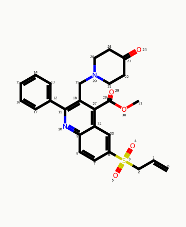 C=CCS(=O)(=O)c1ccc2nc(-c3ccccc3)c(CN3CCC(=O)CC3)c(C(=O)OC)c2c1